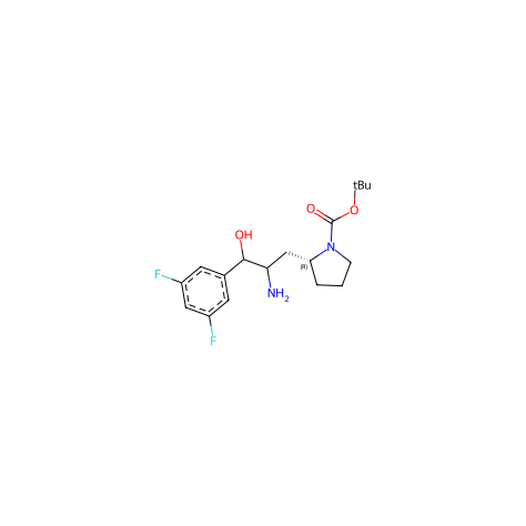 CC(C)(C)OC(=O)N1CCC[C@@H]1CC(N)C(O)c1cc(F)cc(F)c1